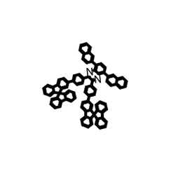 c1ccc2c(c1)-c1ccccc1C21c2ccccc2-c2ccc(-c3ccc(-c4nc5c(-c6ccc7ccccc7c6)ccc(-c6ccc7ccccc7c6)c5nc4-c4ccc(-c5ccc6c(c5)C5(c7ccccc7-c7ccccc75)c5ccccc5-6)cc4)cc3)cc21